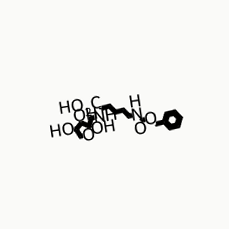 O=C(NCCCCC(NCC1(O)OCC(O)C1O)C(=O)O)OCc1ccccc1